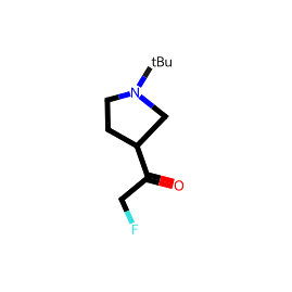 CC(C)(C)N1CCC(C(=O)CF)C1